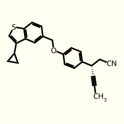 CC#C[C@@H](CC#N)c1ccc(OCc2ccc3scc(C4CC4)c3c2)cc1